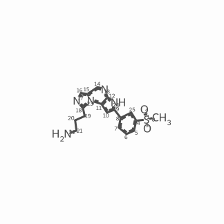 CS(=O)(=O)c1cccc(-c2cc3c(ncc4cnc(CCCN)n43)[nH]2)c1